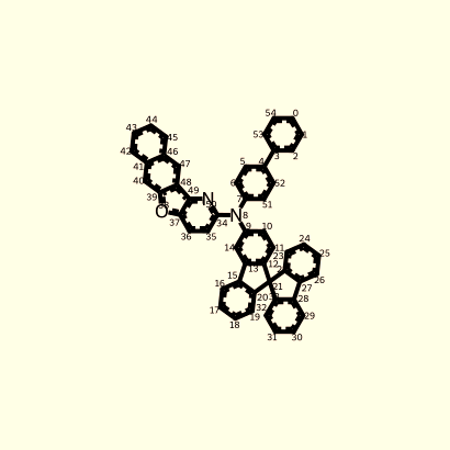 c1ccc(-c2ccc(N(c3ccc4c(c3)-c3ccccc3C43c4ccccc4-c4ccccc43)c3ccc4oc5cc6ccccc6cc5c4n3)cc2)cc1